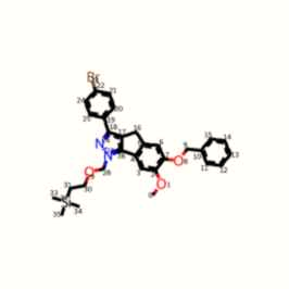 COc1cc2c(cc1OCc1ccccc1)Cc1c(-c3ccc(Br)cc3)nn(COCC[Si](C)(C)C)c1-2